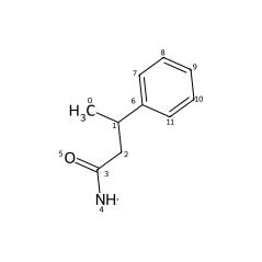 CC(CC([NH])=O)c1ccccc1